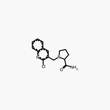 NC(=O)C1[CH]CCN1Cc1cc2ccccc2nc1Cl